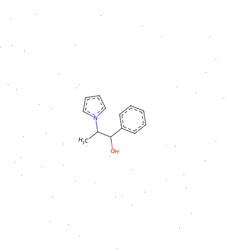 CC(C(O)c1ccccc1)n1cccc1